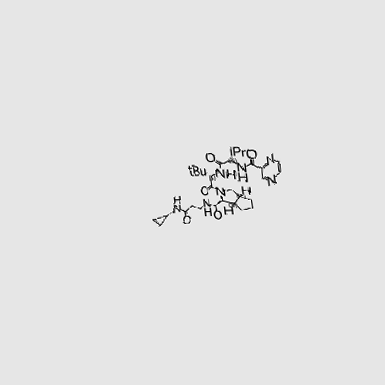 CC(C)[C@H](NC(=O)c1cnccn1)C(=O)N[C@H](C(=O)N1C[C@@H]2CCC[C@@H]2C1C(=O)NCCC(=O)NC1CC1)C(C)(C)C